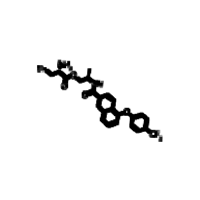 CC(C)C[C@H](N)C(=O)OC[C@@H](C)NC(=O)c1ccc2c(Oc3ccc(C(F)(F)F)cc3)cccc2c1